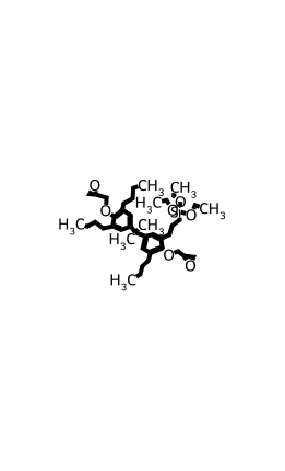 CCCCc1cc(C(C)(C)c2cc(CCCC)c(OCC3CO3)c(CCC[Si](OCC)(OCC)OCC)c2)cc(CCCC)c1OCC1CO1